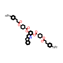 CCCc1ccc(CCC(=O)O[C@H]2CC[C@H](C(=O)Oc3ccc(OC(=O)[C@H]4CC[C@H](OC(=O)CCc5ccc(CCC)cc5)CC4)c4nc5c(cc34)Cc3ccccc3-5)CC2)cc1